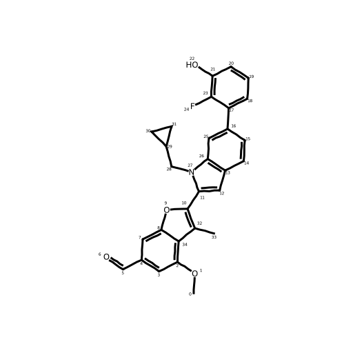 COc1cc(C=O)cc2oc(-c3cc4ccc(-c5cccc(O)c5F)cc4n3CC3CC3)c(C)c12